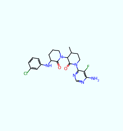 CC1CCN(c2ncnc(N)c2F)C(=O)C1N1CCCC(Nc2cccc(Cl)c2)C1=O